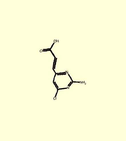 Nc1nc(Cl)cc(/C=C/C(=O)O)n1